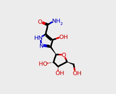 NC(=O)c1[nH]nc([C@H]2O[C@@H](CO)[C@H](O)[C@@H]2O)c1O